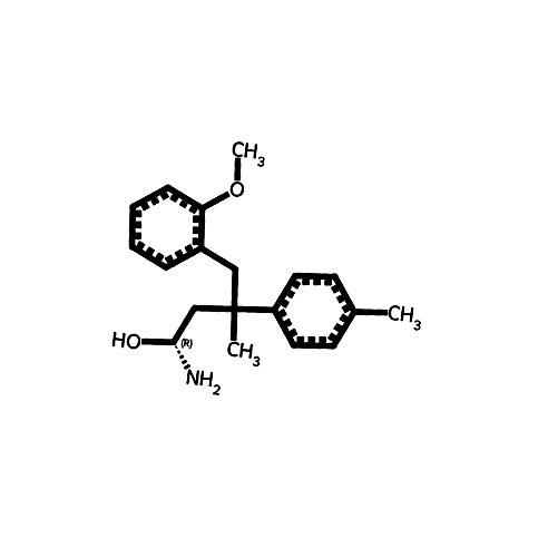 COc1ccccc1CC(C)(C[C@H](N)O)c1ccc(C)cc1